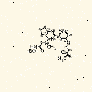 CN(CC(=O)NC(C)(C)C)c1nc(-c2cc(OCCS(C)(=O)=O)ccn2)nc2c1CCC2